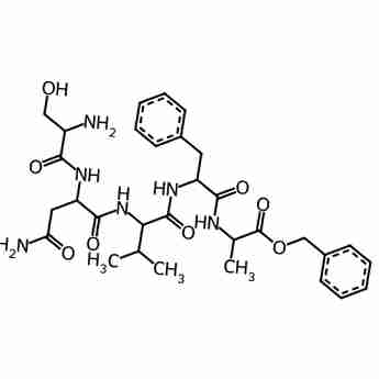 CC(NC(=O)C(Cc1ccccc1)NC(=O)C(NC(=O)C(CC(N)=O)NC(=O)C(N)CO)C(C)C)C(=O)OCc1ccccc1